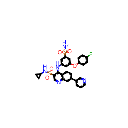 NS(=O)(=O)c1cc(Nc2c(S(=O)(=O)NC3CC3)cnc3cc(-c4cccnc4)ccc23)cc(Oc2ccc(F)cc2)c1